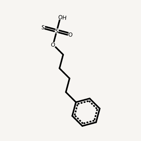 O=S(O)(=S)OCCCCc1ccccc1